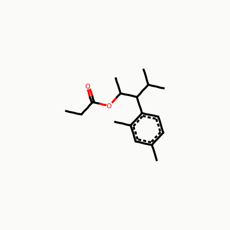 CCC(=O)OC(C)C(c1ccc(C)cc1C)C(C)C